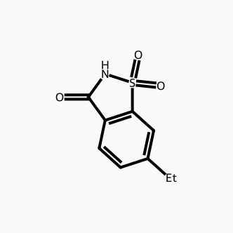 [CH2]Cc1ccc2c(c1)S(=O)(=O)NC2=O